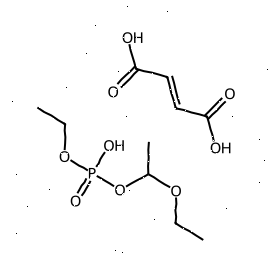 CCOC(C)OP(=O)(O)OCC.O=C(O)/C=C/C(=O)O